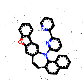 C1=Cc2ccc3ccccc3c2N(c2cccc(-c3ccccn3)n2)c2cc3c(cc21)oc1ccccc13